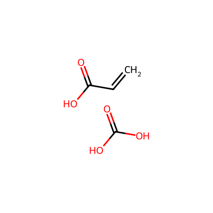 C=CC(=O)O.O=C(O)O